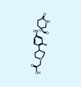 O=C[C@@]1(Nc2ccc(C3CCN(CC(=O)O)CC3)c(F)c2)CCC(=O)NC1